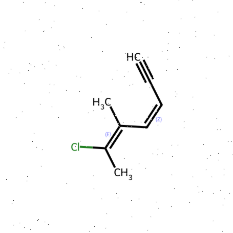 C#C/C=C\C(C)=C(/C)Cl